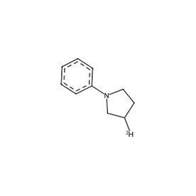 [2H]C1CCN(c2ccccc2)C1